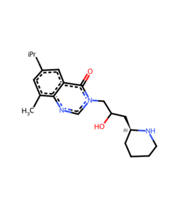 Cc1cc(C(C)C)cc2c(=O)n(CC(O)C[C@@H]3CCCCN3)cnc12